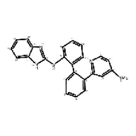 CNc1ccnc(-c2ccccc2-c2ccccc2Sc2nc3ccccc3[nH]2)c1